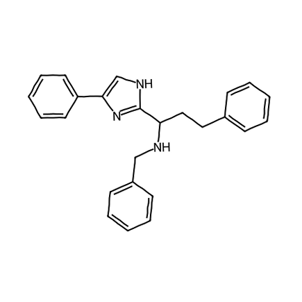 c1ccc(CCC(NCc2ccccc2)c2nc(-c3ccccc3)c[nH]2)cc1